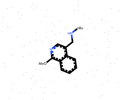 CCCCNCc1cnc(OC)c2ccccc12